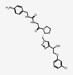 Nc1ccc(CNC(=O)NCC(=O)N2CCC[C@@H]2Cn2cc(C(O)COc3cccc(Cl)c3)nn2)cc1